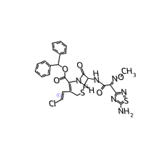 CON=C(C(=O)NC1C(=O)N2C(C(=O)OC(c3ccccc3)c3ccccc3)=C(/C=C/Cl)CS[C@@H]12)c1nsc(N)n1